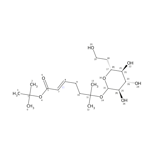 CC(C)(C)OC(=O)/C=C/CCC(C)(C)OC1O[C@H](CCO)[C@@H](O)[C@H](O)[C@H]1O